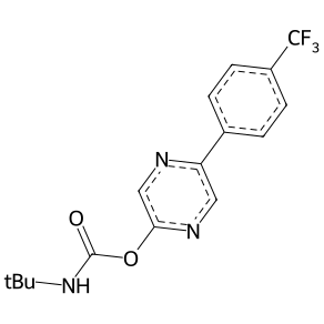 CC(C)(C)NC(=O)Oc1cnc(-c2ccc(C(F)(F)F)cc2)cn1